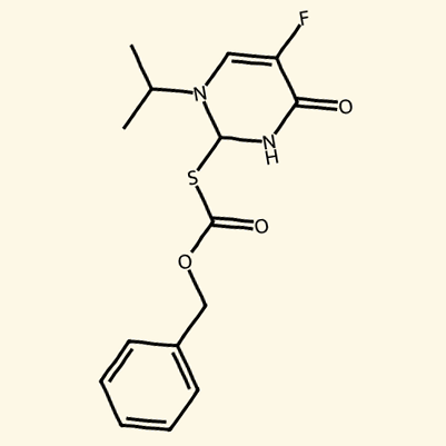 CC(C)N1C=C(F)C(=O)NC1SC(=O)OCc1ccccc1